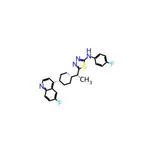 C[C@@H](c1nnc(Nc2ccc(F)cc2)s1)[C@H]1CC[C@@H](c2ccnc3ccc(F)cc32)CC1